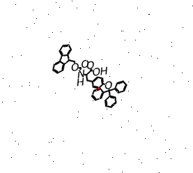 O=C(NC(Cc1ccc(OC(c2ccccc2)(c2ccccc2)c2ccccc2)cc1)C(=O)O)OCC1c2ccccc2-c2ccccc21